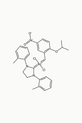 Cc1ccccc1N1CCN(c2ccccc2C)[C]1=[Ru]([Cl])([Cl])=[CH]c1cc([N+](=O)[O-])ccc1OC(C)C